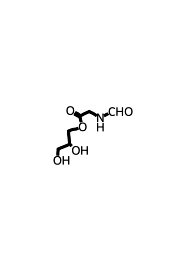 O=CNCC(=O)OCC(O)CO